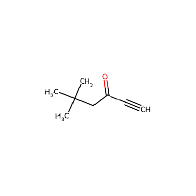 C#CC(=O)CC(C)(C)C